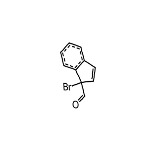 O=CC1(Br)C=Cc2ccccc21